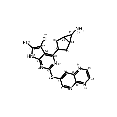 CCc1[nH]c2nc(Sc3cnc4nccnc4c3)nc(C3CC4C(N)C4C3)c2c1Cl